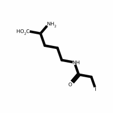 NC(CCCNC(=O)CI)C(=O)O